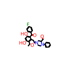 CCc1c(O)cc(O)c(C(=O)c2ccc(F)cc2)c1CC(=O)N1CCN(c2ccccc2)C(C=O)C1